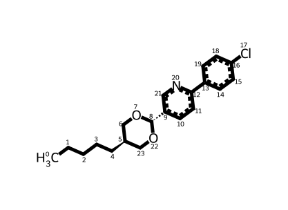 CCCCC[C@H]1CO[C@H](c2ccc(-c3ccc(Cl)cc3)nc2)OC1